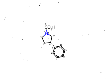 O=C(O)N1CC[C@@H](c2ccccc2)C1